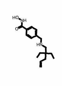 C=CCC(CC)(CC)CNCc1ccc(C(=O)NO)cc1